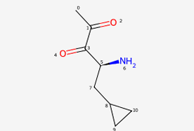 CC(=O)C(=O)[C@@H](N)CC1CC1